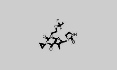 Cc1c(CN2CCNC2=O)sc2c1c(=O)n(C1CC1)c(=O)n2CCOC(F)(F)F